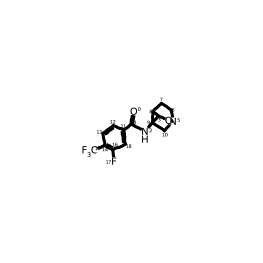 O=C(NC1CN2CCC1CC2)c1ccc(C(F)(F)F)c(F)c1